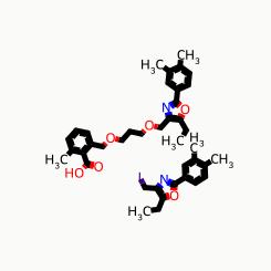 CCc1oc(-c2ccc(C)c(C)c2)nc1CI.CCc1oc(-c2ccc(C)c(C)c2)nc1COCCCOCc1cccc(C)c1C(=O)O